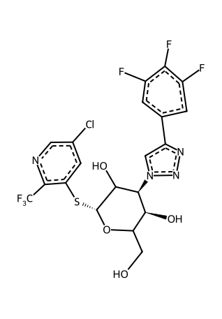 OCC1O[C@H](Sc2cc(Cl)cnc2C(F)(F)F)C(O)[C@@H](n2cc(-c3cc(F)c(F)c(F)c3)nn2)[C@H]1O